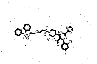 COC(=O)C1=C(C2CCN(S(=O)(=O)CCOCCO[Si](c3ccccc3)(c3ccccc3)C(C)(C)C)CC2)NC(c2nccs2)=NC1c1ccc(F)cc1Cl